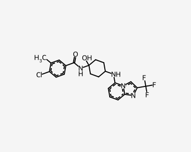 Cc1cc(C(=O)NC2(O)CCC(Nc3cccc4nc(C(F)(F)F)cn34)CC2)ccc1Cl